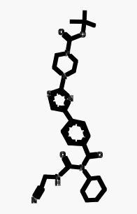 CC(C)(C)OC(=O)N1CCN(c2nc(-c3ccc(C(=O)N(C(=O)NCC#N)C4CCCCC4)cc3)cs2)CC1